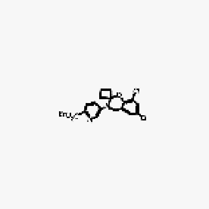 CCOC(=O)c1ccc(N2Cc3cc(Cl)cc(Cl)c3OC23CCC3)cn1